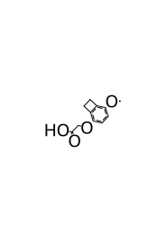 [O]c1ccc(OCC(=O)O)c2c1CC2